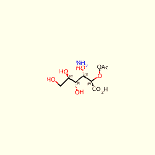 CC(=O)OO[C@@H](C(=O)O)[C@@H](O)[C@H](O)[C@H](O)CO.N